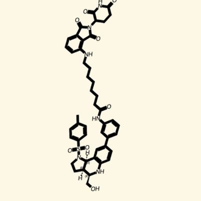 Cc1ccc(S(=O)(=O)N2CC[C@@H]3[C@H](CO)Nc4ccc(-c5cccc(NC(=O)CCCCCCCNc6cccc7c6C(=O)N(C6CCC(=O)NC6=O)C7=O)c5)cc4[C@@H]32)cc1